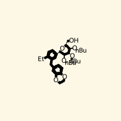 CCCCO[C@@H]1[C@@H](OCCCC)[C@H](c2ccc(CC)c(Cc3ccc4c(c3)OCCO4)c2)O[C@H](CO)[C@H]1OCCCC